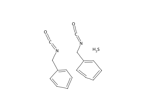 O=C=NCc1ccccc1.O=C=NCc1ccccc1.S